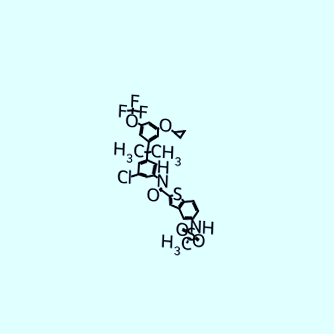 CC(C)(c1cc(Cl)cc(NC(=O)c2cc3cc(NS(C)(=O)=O)ccc3s2)c1)c1cc(OC2CC2)cc(OC(F)(F)F)c1